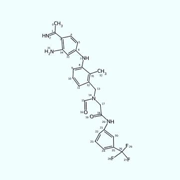 CC(=N)c1ccc(Nc2cccc(CN(C=O)CC(=O)Nc3cccc(C(F)(F)F)c3)c2C)cc1N